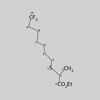 CCOC(=O)C(C)SCCCCCCC(F)(F)F